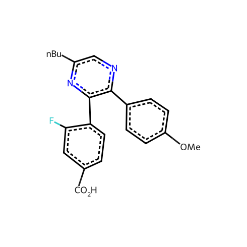 CCCCc1cnc(-c2ccc(OC)cc2)c(-c2ccc(C(=O)O)cc2F)n1